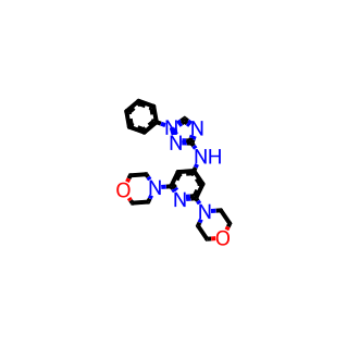 c1ccc(-n2cnc(Nc3cc(N4CCOCC4)nc(N4CCOCC4)c3)n2)cc1